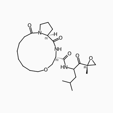 CC(C)CC(NC(=O)[C@@H]1COCCCCCCCC(=O)N2CCC[C@H]2C(=O)N1)C(=O)[C@@]1(C)CO1